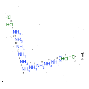 Cl.Cl.Cl.Cl.N.N.N.N.N.N.N.N.N.N.N.[Ti]